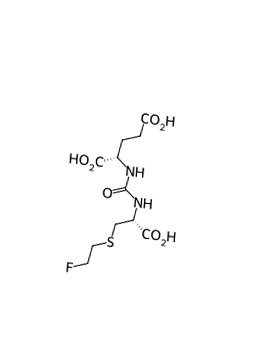 O=C(O)CC[C@H](NC(=O)N[C@@H](CSCCF)C(=O)O)C(=O)O